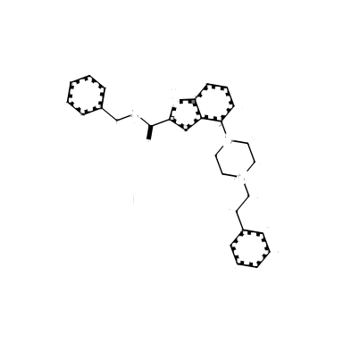 Cl.O=C(NCc1ccccc1)c1cc2c(N3CCN(CCc4ccccc4)CC3)cccc2s1